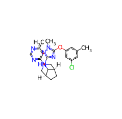 Cc1cc(Cl)cc(Oc2nc(NC3[C@@H]4CC[C@H]3CN(c3cc(C)ncn3)C4)nn2C)c1